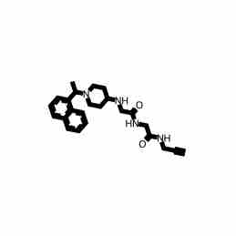 C#CCNC(=O)CNC(=O)CNC1CCN(C(C)c2cccc3ccccc23)CC1